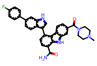 CN1CCN(C(=O)c2ccc3c(c2)[nH]c2c(C(N)=O)ccc(-c4c[nH]c5cc(-c6ccc(F)cc6)ccc45)c23)CC1